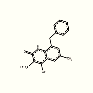 CCOC(=O)c1c(O)c2cc(C)cc(Cc3ccccc3)c2[nH]c1=O